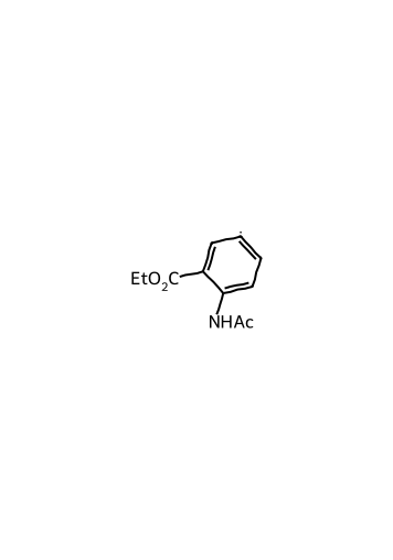 CCOC(=O)c1c[c]ccc1NC(C)=O